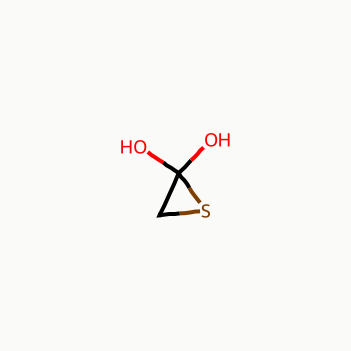 OC1(O)CS1